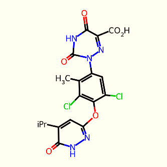 Cc1c(-n2nc(C(=O)O)c(=O)[nH]c2=O)cc(Cl)c(Oc2cc(C(C)C)c(=O)[nH]n2)c1Cl